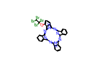 BrC(Br)C(Br)(Br)Oc1cccc2c3nc4nc(nc5[nH]c(nc6nc(nc([nH]3)c12)-c1ccccc1-6)c1ccccc51)-c1ccccc1-4